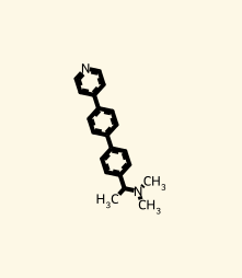 CC(c1ccc(-c2ccc(-c3ccncc3)cc2)cc1)N(C)C